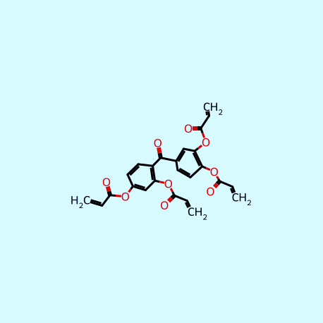 C=CC(=O)Oc1ccc(C(=O)c2ccc(OC(=O)C=C)c(OC(=O)C=C)c2)c(OC(=O)C=C)c1